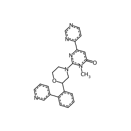 Cn1c(N2CCOC(c3ccccc3-c3cccnc3)C2)nc(-c2ccncn2)cc1=O